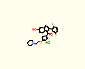 Cl.O=C(c1ccc(OCCN2CCCCC2)cc1)c1c(-c2cc(F)ccc2F)ccc2cc(O)ccc12